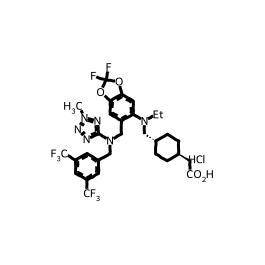 CCN(C[C@H]1CC[C@H](CC(=O)O)CC1)c1cc2c(cc1CN(Cc1cc(C(F)(F)F)cc(C(F)(F)F)c1)c1nnn(C)n1)OC(F)(F)O2.Cl